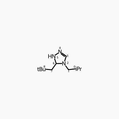 CC(C)CN1C=NNC1CC(C)(C)C